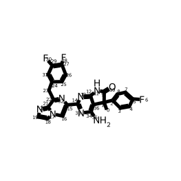 CC1(c2ccc(F)cc2)C(=O)Nc2nc(-c3cn4ccnc4c(Cc4ccc(F)c(F)c4)n3)nc(N)c21